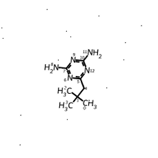 CC(C)(C)Cc1nc(N)nc(N)n1